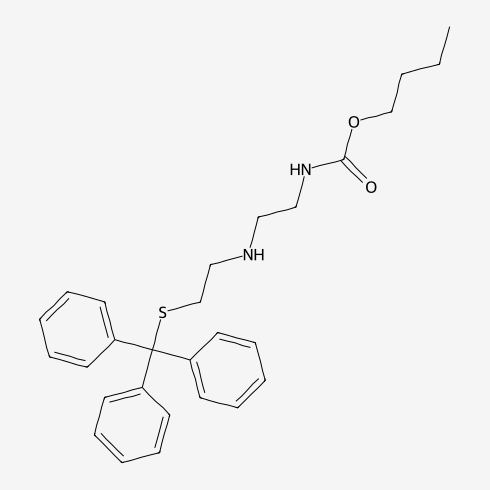 CCCCOC(=O)NCCNCCSC(c1ccccc1)(c1ccccc1)c1ccccc1